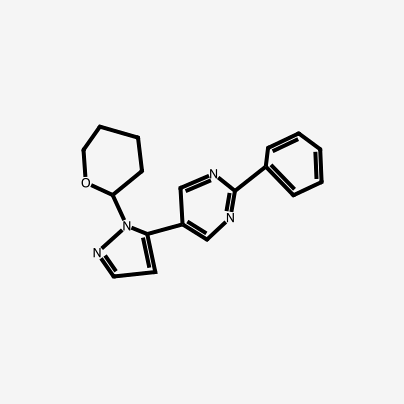 c1ccc(-c2ncc(-c3ccnn3C3CCCCO3)cn2)cc1